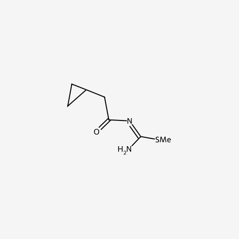 CS/C(N)=N/C(=O)CC1CC1